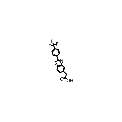 O=C(O)Cc1ccc2sc(-c3ccc(C(F)(F)F)cc3)nc2c1